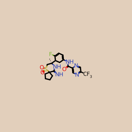 C[C@@]1(C2CC(NC(=O)c3cnc(C(F)(F)F)cn3)=CC=C2F)CS(=O)(=O)C2(CCCC2)C(=N)N1